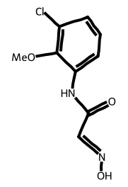 COc1c(Cl)cccc1NC(=O)C=NO